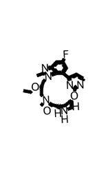 CCO[C@H]1CN(C)C(=O)[C@@H]2C[C@@H](CN2)Oc2nccc(n2)-c2cc(F)cc3nc(C)n(c23)C1